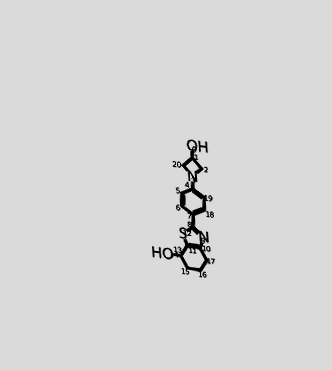 OC1CN(c2ccc(-c3nc4c(s3)C(O)CCC4)cc2)C1